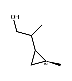 CC(CO)C1C[C@@H]1C